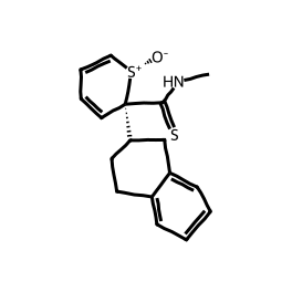 CNC(=S)[C@@]1(C2CCc3ccccc3C2)C=CC=C[S@+]1[O-]